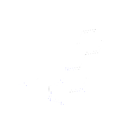 NCc1nnc2ncc(-c3ccccc3)nn12